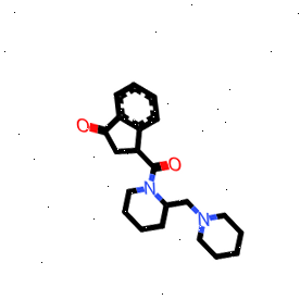 O=C1CC(C(=O)N2CCCCC2CN2CCCCC2)c2ccccc21